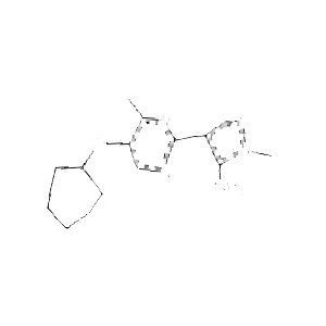 Cc1nc(-c2cnn(C)c2N)ncc1OC1CCCCC1